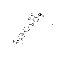 Cc1ccc(OCC2CCC([C@@H]3CCC(C)OC3)CC2)c(Cl)c1Cl